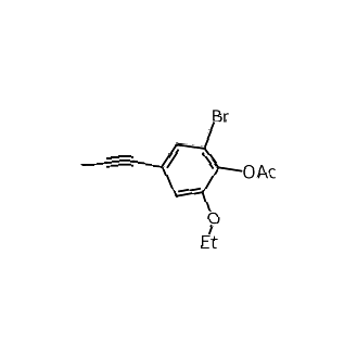 CC#Cc1cc(Br)c(OC(C)=O)c(OCC)c1